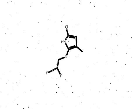 Cc1cc(Cl)[nH]c1OCC(F)F